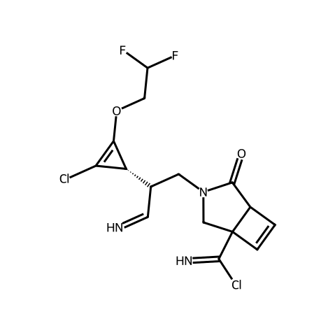 N=CC(CN1CC2(C(=N)Cl)C=CC2C1=O)[C@@H]1C(Cl)=C1OCC(F)F